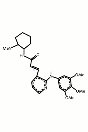 CNC1CCCCC1NC(=O)/C=C/c1cccnc1Nc1cc(OC)c(OC)c(OC)c1